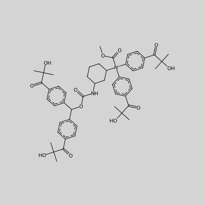 COC(=O)[N+](c1ccc(C(=O)C(C)(C)O)cc1)(c1ccc(C(=O)C(C)(C)O)cc1)C1CCCC(NC(=O)OC(c2ccc(C(=O)C(C)(C)O)cc2)c2ccc(C(=O)C(C)(C)O)cc2)C1